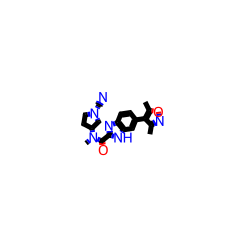 Cc1noc(C)c1-c1ccc2nc(C(=O)N(C)C3CCN(C#N)C3)[nH]c2c1